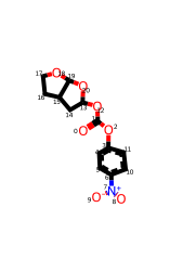 O=C(Oc1ccc([N+](=O)[O-])cc1)OC1CC2CCOC2O1